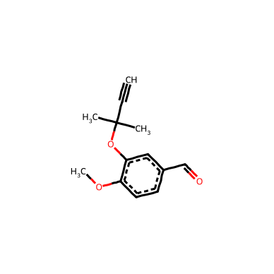 C#CC(C)(C)Oc1cc(C=O)ccc1OC